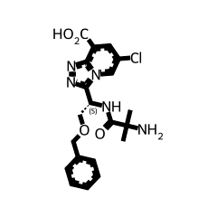 CC(C)(N)C(=O)N[C@H](COCc1ccccc1)c1nnc2c(C(=O)O)cc(Cl)cn12